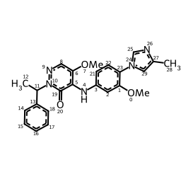 COc1cc(Nc2c(OC)cnn(C(C)c3ccccc3)c2=O)ccc1-n1cnc(C)c1